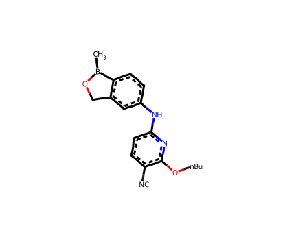 [C-]#[N+]c1ccc(Nc2ccc3c(c2)COB3C)nc1OCCCC